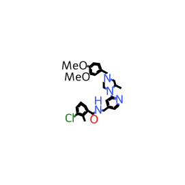 COc1ccc(CN2CCN(c3cc(CNC(=O)c4cccc(Cl)c4C)ccn3)C(C)C2)cc1OC